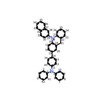 c1ccc(N(c2ccccc2)c2ccc(-c3ccc4c(c3)Cc3ccccc3N4c3ccc4ccccc4c3)cc2)cc1